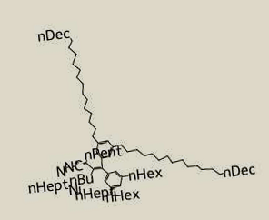 CCCCCCCCCCCCCCCCCCCCCCCCc1cc(CCCCCCCCCCCCCCCCCCCCCCCC)cc(C(=C(CCCC)C(=C=[N+]=[N-])CCCCC)c2cc(CCCCCC)cc(CCCCCC)c2)c1.CCCCCC[CH2][Ni][CH2]CCCCCC